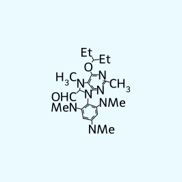 CCC(CC)Oc1nc(C)nc2c1N(C)C(C=O)N2c1c(NC)cc(NC)cc1NC